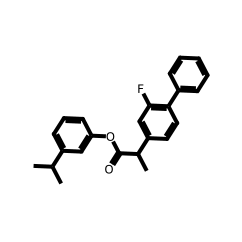 CC(C)c1cccc(OC(=O)C(C)c2ccc(-c3ccccc3)c(F)c2)c1